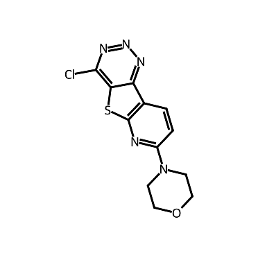 Clc1nnnc2c1sc1nc(N3CCOCC3)ccc12